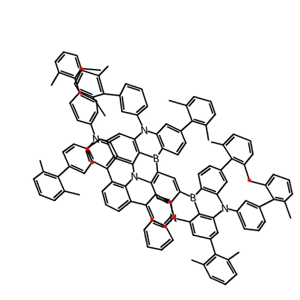 Cc1cccc(C)c1-c1ccc(N(c2ccc(-c3c(C)cccc3C)cc2)c2cc3c4c(c2)N(c2c(-c5ccccc5)cccc2-c2ccccc2)c2cc5c(cc2B4c2ccc(-c4c(C)cccc4C)cc2N3c2cccc(-c3c(C)cccc3C)c2)B2c3ccc(-c4c(C)cccc4C)cc3N(c3cccc(-c4c(C)cccc4C)c3)c3cc(-c4c(C)cccc4C)cc(c32)N5c2ccccc2)cc1